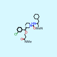 CNC[C@H](CC1CCCCC1)NC(=O)N1CCC[C@@H]([C@@H](OCCC(=O)NC)c2cccc(Cl)c2)C1